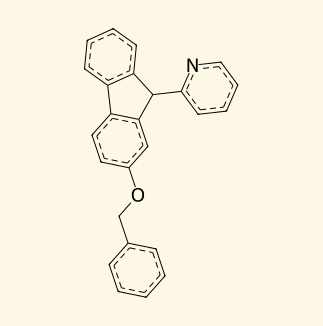 c1ccc(COc2ccc3c(c2)C(c2ccccn2)c2ccccc2-3)cc1